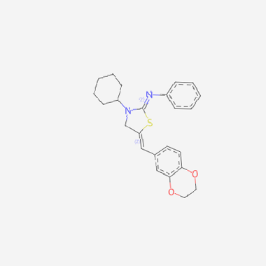 C(=C1\CN(C2CCCCC2)/C(=N/c2ccccc2)S1)/c1ccc2c(c1)OCCO2